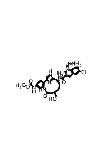 COC(=O)Nc1ccc2c(c1)NC(=O)CC(CO)CCC[C@H](NC(=O)/C=C/c1cc(Cl)ccc1N(N)/C=N\N)c1nc-2c[nH]1